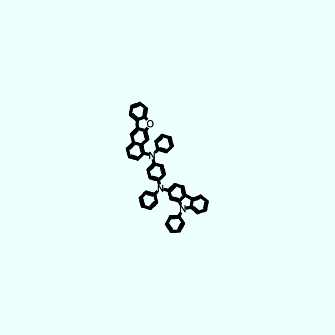 c1ccc(N(c2ccc(N(c3ccccc3)c3cccc4cc5c(cc34)oc3ccccc35)cc2)c2ccc3c4ccccc4n(-c4ccccc4)c3c2)cc1